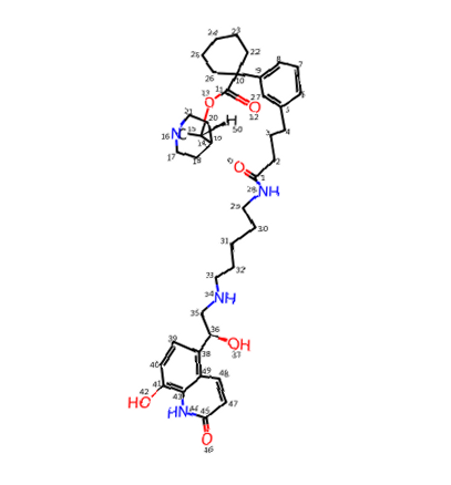 O=C(CCCc1cccc(C2(C(=O)O[C@H]3CN4CCC3CC4)CCCCC2)c1)NCCCCCNC[C@@H](O)c1ccc(O)c2[nH]c(=O)ccc12